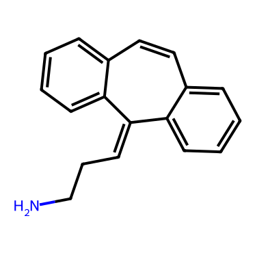 NCCC=C1c2ccccc2C=Cc2ccccc21